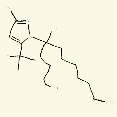 CCCCCCCC(C)(CCCC)n1nc(Br)cc1C(F)(F)F